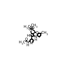 CC(=O)Nc1cc(-c2[nH]c3c(c2Nc2ccc(C)cc2)C(=O)CN(S(=O)(=O)C(C)C)C3)ccn1